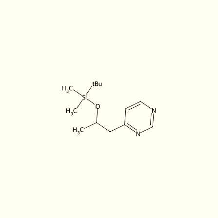 CC(Cc1ccncn1)O[Si](C)(C)C(C)(C)C